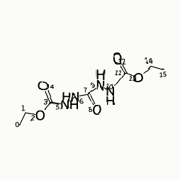 CCOC(=O)NNC(=O)NNC(=O)OCC